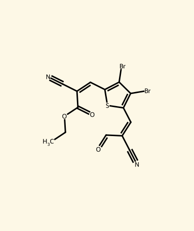 CCOC(=O)C(C#N)=Cc1sc(C=C(C#N)C=O)c(Br)c1Br